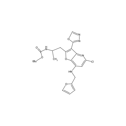 CC(Cc1oc2c(NCc3ccco3)cc(Cl)nc2c1-c1nnco1)NC(=O)OC(C)(C)C